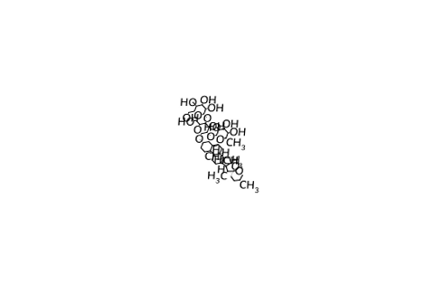 CC1O[C@@H](O[C@H]2C(O)[C@H](O[C@@H]3OC(CO)[C@@H](O)C(O)[C@@H]3O)C(CO)O[C@H]2O[C@H]2CC[C@@]3(C)C(=CC[C@H]4[C@@H]5C[C@@H]6O[C@]7(CC[C@@H](C)CO7)[C@@H](C)[C@@H]6[C@@]5(C)CC[C@@H]43)C2)[C@@H](O)C(O)[C@H]1O